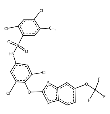 Cc1cc(S(=O)(=O)Nc2cc(Cl)c(Oc3nc4ccc(OC(F)(F)F)cc4s3)c(Cl)c2)c(Cl)cc1Cl